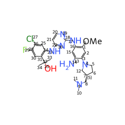 COc1cc(N2CC[C@@H](CN(C)C)C2)c(N)cc1Nc1nccc(Nc2cc(Cl)c(F)cc2C(C)(C)O)n1